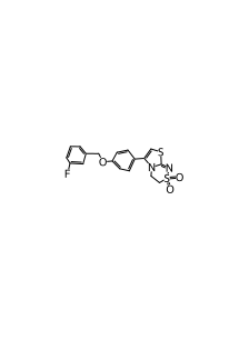 O=S1(=O)CCN2C(c3ccc(OCc4cccc(F)c4)cc3)=CSC2=N1